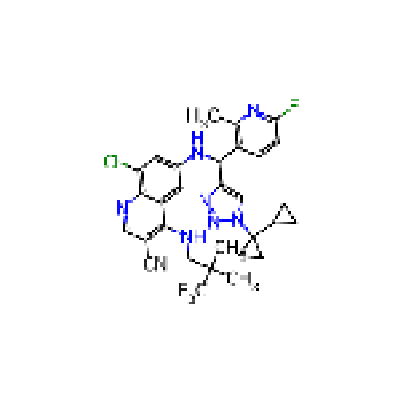 Cc1nc(F)ccc1C(Nc1cc(Cl)c2ncc(C#N)c(NCC(C)(C)C(F)(F)F)c2c1)c1cn(C2(C3CC3)CC2)nn1